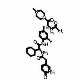 CCC(=O)N[C@H](Cc1ccc(NC(=O)[C@@H](NC(=O)Cc2ccc(=O)[nH]c2)C2CCCCC2)c(F)c1)C(=O)N1CCN(C)CC1